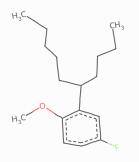 CCCCCC(CCCC)c1cc(F)ccc1OC